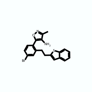 Cc1noc(-c2ccc(Br)cc2CCc2cc3ccccc3s2)c1N